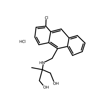 CC(CO)(CO)NCc1c2ccccc2cc2c(Cl)cccc12.Cl